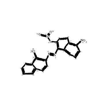 O=[N+]([O-])c1cccc2c(N=Nc3ccc4ccccc4c3O)c(O[SH](=O)=O)ccc12